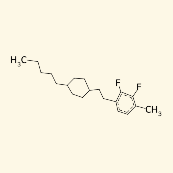 CCCCCC1CCC(CCc2ccc(C)c(F)c2F)CC1